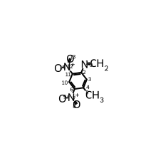 C=Nc1cc(C)c([N+](=O)[O-])cc1[N+](=O)[O-]